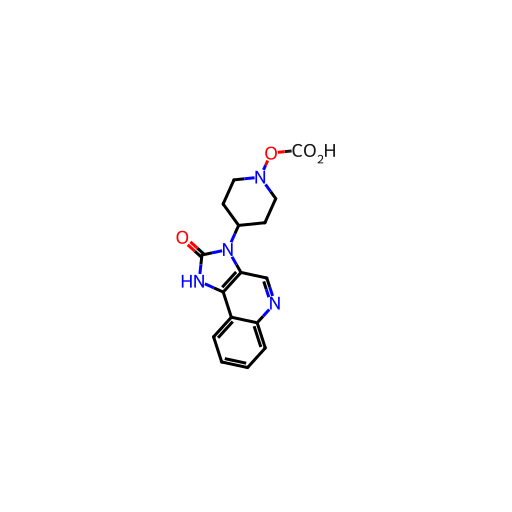 O=C(O)ON1CCC(n2c(=O)[nH]c3c4ccccc4ncc32)CC1